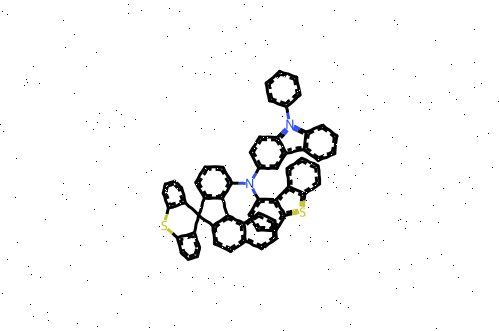 c1ccc(-n2c3ccccc3c3cc(N(c4cccc5c4-c4c(ccc6ccccc46)C54c5ccccc5Sc5ccccc54)c4cccc5sc6ccccc6c45)ccc32)cc1